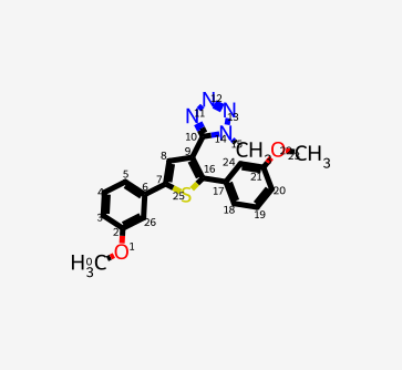 COc1cccc(-c2cc(-c3nnnn3C)c(-c3cccc(OC)c3)s2)c1